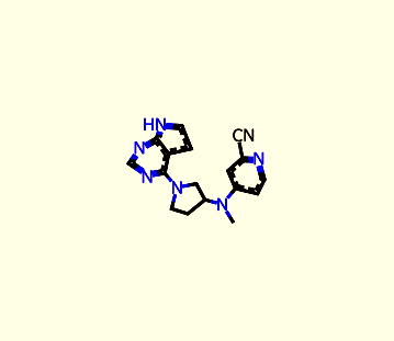 CN(c1ccnc(C#N)c1)C1CCN(c2ncnc3[nH]ccc23)C1